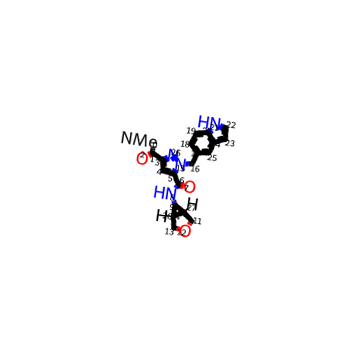 CNC(=O)c1cc(C(=O)NC2[C@H]3COC[C@@H]23)n(Cc2ccc3[nH]ccc3c2)n1